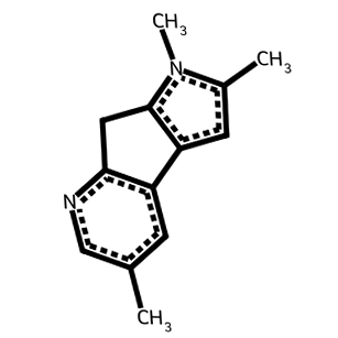 Cc1cnc2c(c1)-c1cc(C)n(C)c1C2